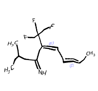 C/C=C\C=C(/C(=N)C(C)C)C(F)(F)F